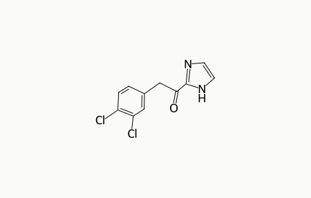 O=C(Cc1ccc(Cl)c(Cl)c1)c1ncc[nH]1